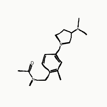 CC(=O)N(C)Cc1ccc(N2CCC(N(C)C)C2)cc1C